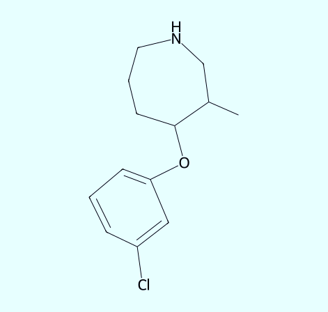 CC1CNCCCC1Oc1cccc(Cl)c1